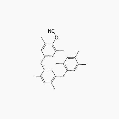 Cc1cc(C)c(Cc2cc(Cc3cc(C)c(OC#N)c(C)c3)c(C)cc2C)cc1C